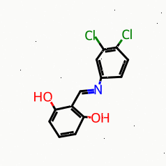 Oc1cccc(O)c1/C=N/c1ccc(Cl)c(Cl)c1